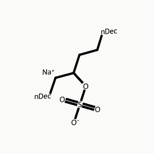 CCCCCCCCCCCCC(CCCCCCCCCCC)OS(=O)(=O)[O-].[Na+]